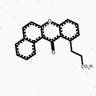 O=C(O)CCc1cccc2oc3ccc4ccccc4c3c(=O)c12